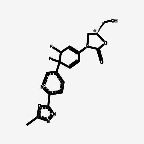 Cc1nnc(-c2ccc(C3(F)C=CC(N4C[C@H](CO)OC4=O)=CC3F)cn2)o1